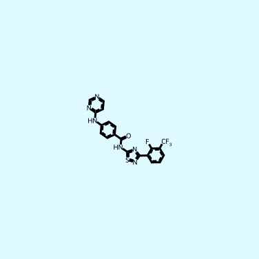 O=C(Nc1nc(-c2cccc(C(F)(F)F)c2F)ns1)c1ccc(Nc2ccncn2)cc1